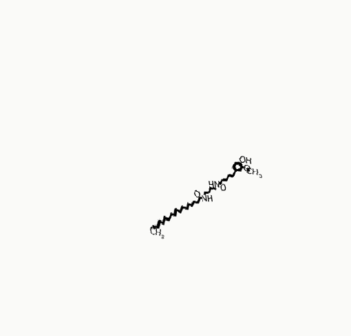 CCC=CCC=CCC=CCCCCCCCC(=O)NCCCCNC(=O)C=CC=Cc1ccc(O)c(OC)c1